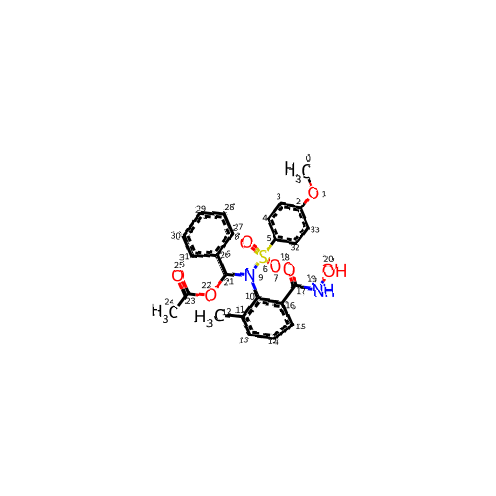 COc1ccc(S(=O)(=O)N(c2c(C)cccc2C(=O)NO)C(OC(C)=O)c2ccccc2)cc1